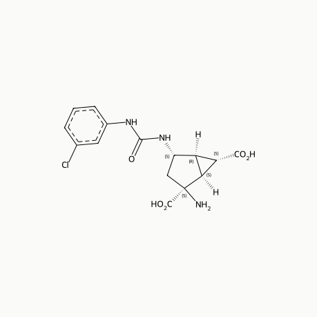 N[C@@]1(C(=O)O)C[C@H](NC(=O)Nc2cccc(Cl)c2)[C@H]2[C@H](C(=O)O)[C@H]21